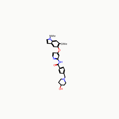 CNn1ccc2cc(Oc3ccnc(NC(=O)c4ccc(CN5CCC(O)CC5)cc4)c3)c(OC)cc21